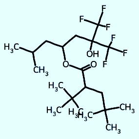 CC(C)CC(CC(O)(C(F)(F)F)C(F)(F)F)OC(=O)C(CC(C)(C)C)C(C)(C)C